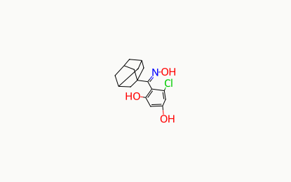 ON=C(c1c(O)cc(O)cc1Cl)C12CC3CC(CC(C3)C1)C2